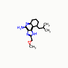 COCc1nc2c(N)nc3c(c2[nH]1)C(CC(C)C)CCC3